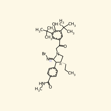 CCC[C@H]1CN(CC(=O)c2cc(C(C)(C)C)c(O)c(C(C)(C)C)c2)/C(=N\Br)C1c1ccc(C(=O)NC)cc1